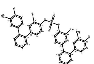 Cc1ccc(-c2cccnc2-c2ccc(CS(=O)(=O)Cc3ccc(-c4ncccc4-c4ccc(C)c(C#N)c4)cc3F)c(F)c2)cc1C#N